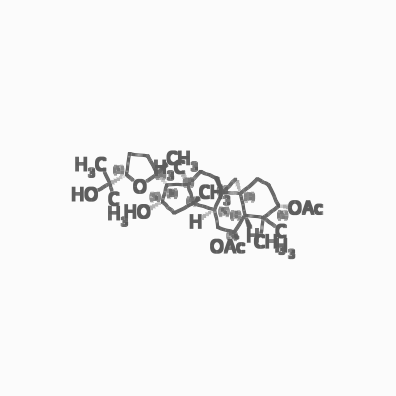 CC(=O)O[C@H]1C[C@@H]2[C@]3(CC[C@]4(C)[C@@H]([C@@]5(C)CC[C@@H](C(C)(C)O)O5)[C@@H](O)C[C@@]24C)C[C@@]32CC[C@H](OC(C)=O)C(C)(C)[C@H]12